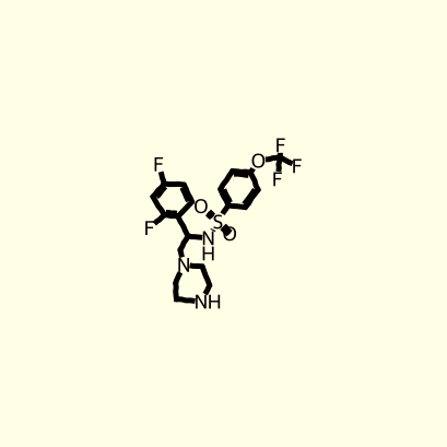 O=S(=O)(NC(CN1CCNCC1)c1ccc(F)cc1F)c1ccc(OC(F)(F)F)cc1